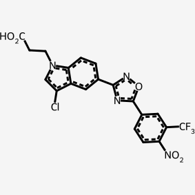 O=C(O)CCn1cc(Cl)c2cc(-c3noc(-c4ccc([N+](=O)[O-])c(C(F)(F)F)c4)n3)ccc21